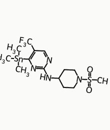 CS(=O)(=O)N1CCC(Nc2ncc(C(F)(F)F)[c]([Sn]([CH3])([CH3])[CH3])n2)CC1